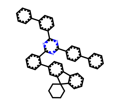 c1ccc(-c2ccc(-c3nc(-c4cccc(-c5ccccc5)c4)nc(-c4ccccc4-c4ccc5c(c4)C4(CCCCC4)c4ccccc4-5)n3)cc2)cc1